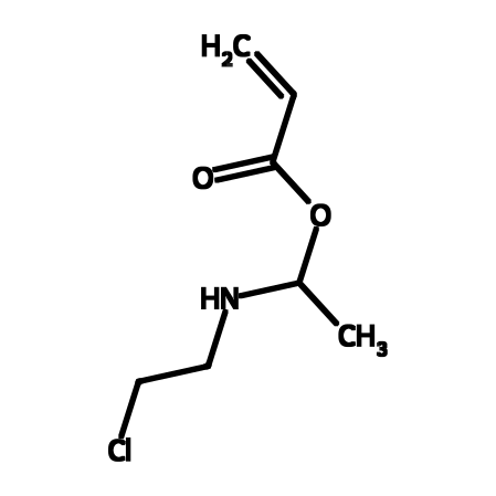 C=CC(=O)OC(C)NCCCl